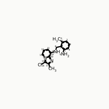 Cc1cccc(N)c1CNc1cccn2c(Cl)c(C)nc12